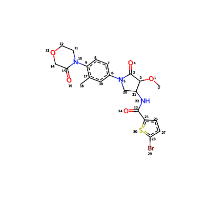 COC1C(=O)N(c2ccc(N3CCOCC3=O)c(C)c2)CC1NC(=O)c1ccc(Br)s1